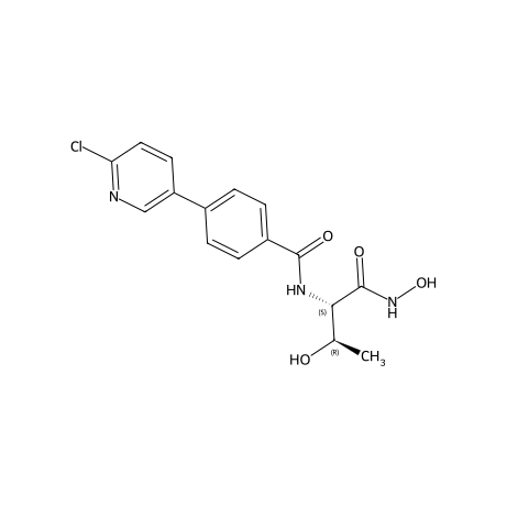 C[C@@H](O)[C@H](NC(=O)c1ccc(-c2ccc(Cl)nc2)cc1)C(=O)NO